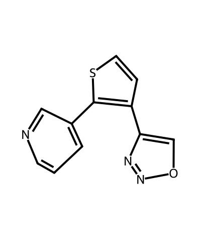 c1cncc(-c2sccc2-c2conn2)c1